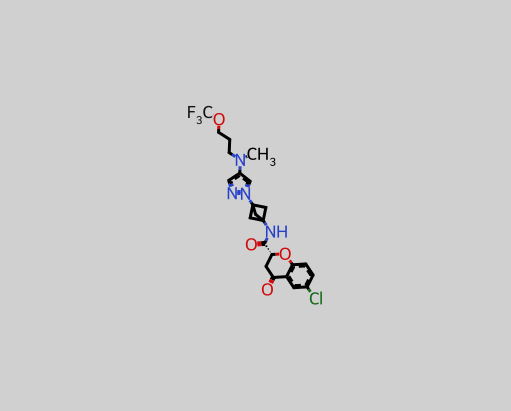 CN(CCCOC(F)(F)F)c1cnn(C23CC(NC(=O)[C@H]4CC(=O)c5cc(Cl)ccc5O4)(C2)C3)c1